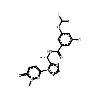 C[C@H](NC(=O)c1cc(Cl)cc(OC(F)F)c1)c1ncnn1-c1ccc(=O)n(C)n1